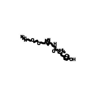 CN(C)[C@H](CNC(=O)NCCc1cn(CCOCCOCCN=[N+]=[N-])nn1)Cc1ccc(O)cc1